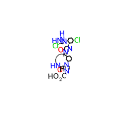 O=C(O)CN1CCN2c3cccc(c3)[C@@H](n3cnc(-c4cc(Cl)ccc4N4C=C(Cl)NN4)cc3=O)CCCCCNC(=O)[C@H]2C1